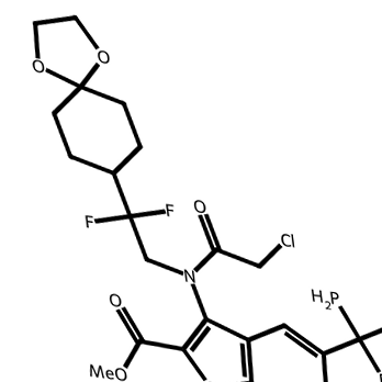 COC(=O)c1oc2ccc(C(F)(F)P)cc2c1N(CC(F)(F)C1CCC2(CC1)OCCO2)C(=O)CCl